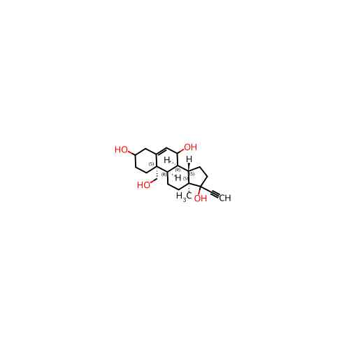 C#CC1(O)CC[C@H]2[C@@H]3C(O)C=C4CC(O)CC[C@]4(CO)[C@@H]3CC[C@@]21C